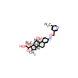 Cc1cncc(CO/N=C2\C=C[C@@]3(C)C(=C2)CC[C@H]2[C@@H]4C[C@@H](C)[C@](O)(C(=O)CO)[C@@]4(C)C[C@H](O)[C@@]23F)c1